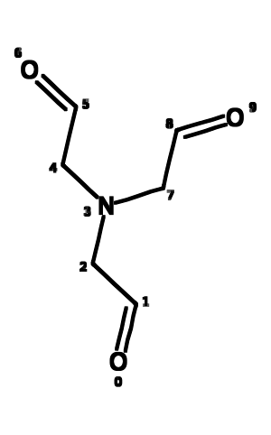 O=CCN(CC=O)CC=O